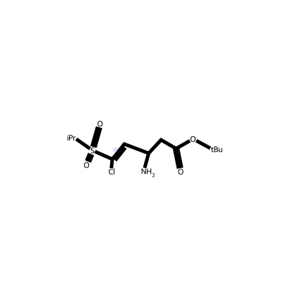 CC(C)S(=O)(=O)/C(Cl)=C/C(N)CC(=O)OC(C)(C)C